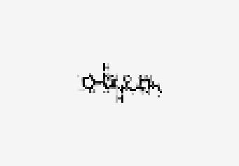 CCn1ncc(CC(=O)Nc2cc([C@H]3C[CH]CC3)[nH]n2)n1